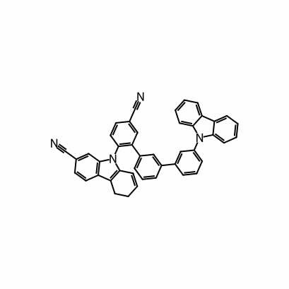 N#Cc1ccc(-n2c3c(c4ccc(C#N)cc42)CCC=C3)c(-c2cccc(-c3cccc(-n4c5ccccc5c5ccccc54)c3)c2)c1